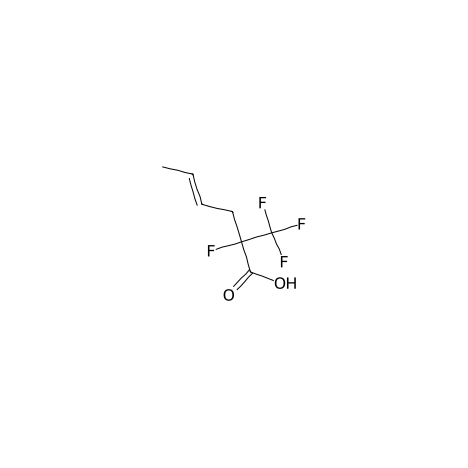 C/C=C/CC(F)(C(=O)O)C(F)(F)F